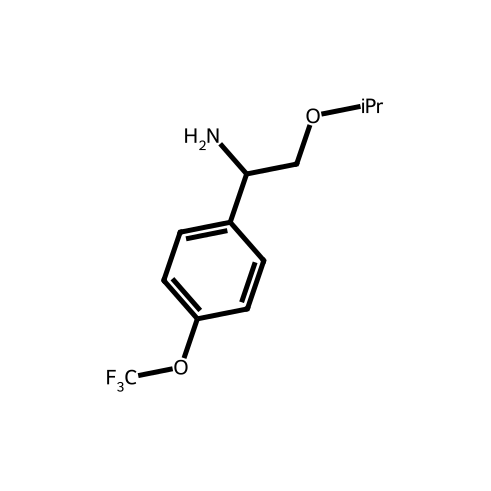 CC(C)OCC(N)c1ccc(OC(F)(F)F)cc1